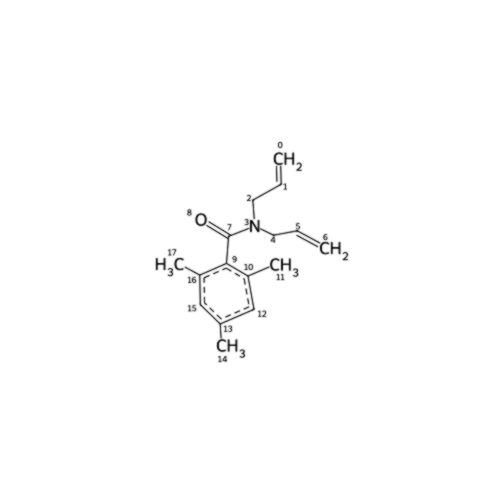 C=CCN(CC=C)C(=O)c1c(C)cc(C)cc1C